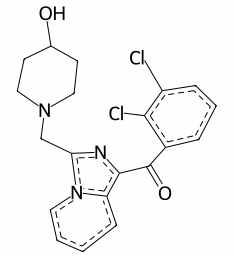 O=C(c1cccc(Cl)c1Cl)c1nc(CN2CCC(O)CC2)n2ccccc12